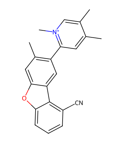 Cc1cc(-c2cc3c(cc2C)oc2cccc(C#N)c23)[n+](C)cc1C